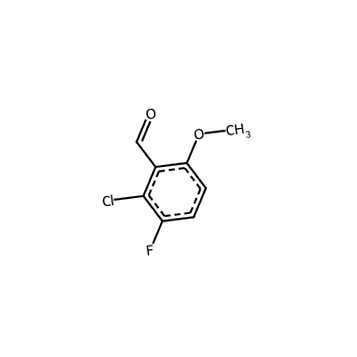 COc1ccc(F)c(Cl)c1C=O